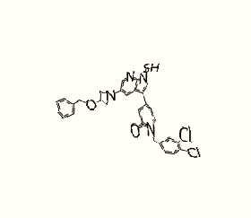 O=c1cc(-c2cn(S)c3ncc(N4CC(OCc5ccccc5)C4)cc23)ccn1Cc1ccc(Cl)c(Cl)c1